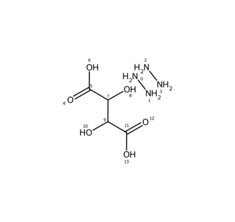 NN.NN.O=C(O)C(O)C(O)C(=O)O